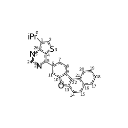 CC(C)c1csc2c(-c3ccc4c(c3)oc3ccc5ccccc5c34)ncnc12